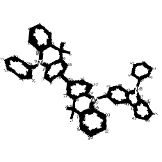 CC1(C)c2ccccc2N(c2ccccc2)c2ccc(-c3ccc4c(c3)C(C)(C)c3ccccc3N4c3ccc4c(c3)c3ccccc3n4C3=CC=CCC3)cc21